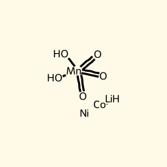 [Co].[LiH].[Ni].[O]=[Mn](=[O])(=[O])([OH])[OH]